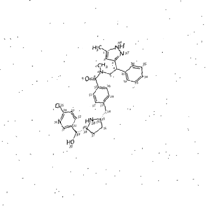 Cc1cc(C(CN(C)C(=O)c2ccc(C[C@@H]3CC[C@H](C(O)c4ccc(Cl)nc4)N3)cc2)c2ccccc2)n[nH]1